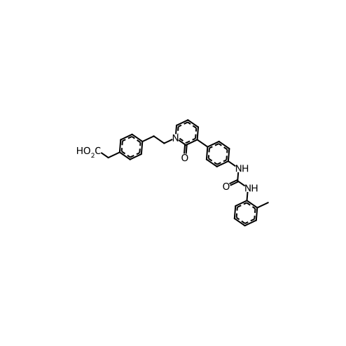 Cc1ccccc1NC(=O)Nc1ccc(-c2cccn(CCc3ccc(CC(=O)O)cc3)c2=O)cc1